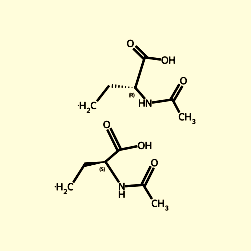 [CH2]C[C@@H](NC(C)=O)C(=O)O.[CH2]C[C@H](NC(C)=O)C(=O)O